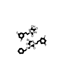 O=c1[nH]c(=O)n(CCc2cc(F)cc(F)c2)nc1O.O=c1c(Br)nn(CCc2cc(F)cc(F)c2)c(=O)n1COCc1ccccc1